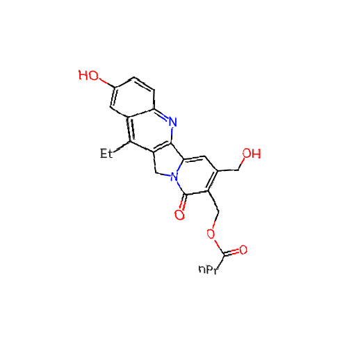 CCCC(=O)OCc1c(CO)cc2n(c1=O)Cc1c-2nc2ccc(O)cc2c1CC